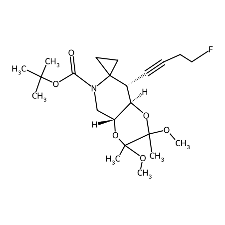 COC1(C)O[C@@H]2[C@@H](C#CCCF)C3(CC3)N(C(=O)OC(C)(C)C)C[C@H]2OC1(C)OC